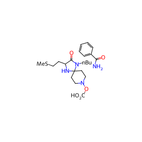 CCCCN1C(=O)C(CCSC)NC12CCN(OC(=O)O)CC2.NC(=O)c1ccccc1